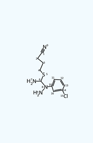 N#CCCCSC(N)N(N)c1cccc(Cl)c1